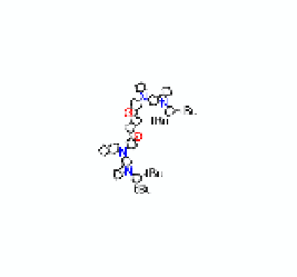 CC(C)(C)c1cc(-n2c3ccccc3c3cc(N(c4ccccc4)c4ccc5oc6c(ccc7c6ccc6c8cc(N(c9ccc%10ccccc%10c9)c9ccc%10c(c9)c9ccccc9n%10-c9cc(C(C)(C)C)cc(C(C)(C)C)c9)ccc8oc67)c5c4)ccc32)cc(C(C)(C)C)c1